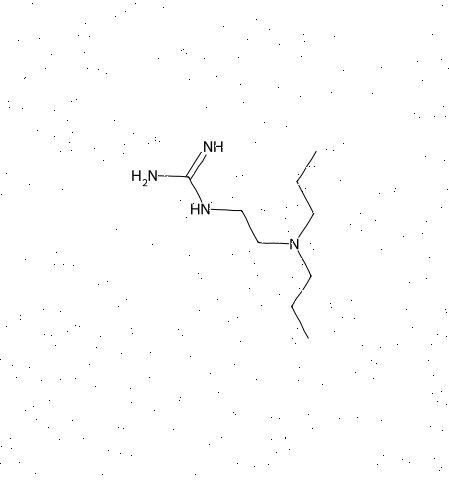 CCCN(CCC)CCNC(=N)N